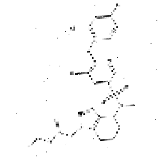 CCOC(=O)Cn1ncc2c1CCCC2N(C)S(=O)(=O)c1cnc(Oc2ccc(Cl)cc2Cl)c(Br)c1